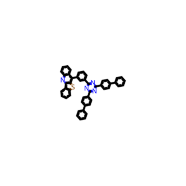 c1ccc(-c2ccc(-c3nc(-c4ccc(-c5ccccc5)cc4)nc(-c4cccc(-c5c6ccccc6nc6c5sc5ccccc56)c4)n3)cc2)cc1